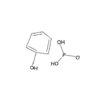 OP(O)Cl.Oc1ccccc1